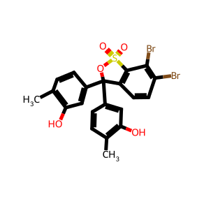 Cc1ccc(C2(c3ccc(C)c(O)c3)OS(=O)(=O)c3c2ccc(Br)c3Br)cc1O